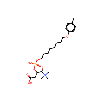 Cc1ccc(OCCCCCCCCOP(=O)(O)O[C@H](CC(=O)O)C([O-])[N+](C)(C)C)cc1